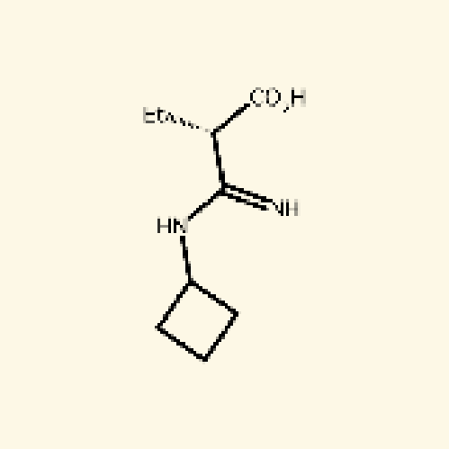 CC[C@@H](C(=N)NC1CCC1)C(=O)O